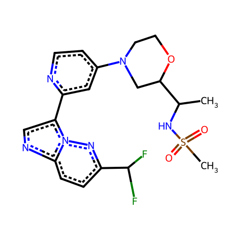 CC(NS(C)(=O)=O)C1CN(c2ccnc(-c3cnc4ccc(C(F)F)nn34)c2)CCO1